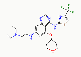 CCN(CC)CCNc1cc(OC2CCOCC2)c2c(Nc3nc(C(F)(F)F)cs3)ncnc2c1